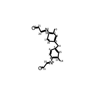 Cc1cc(Cc2ccc(N=CC=O)c(C)c2)ccc1N=CC=O